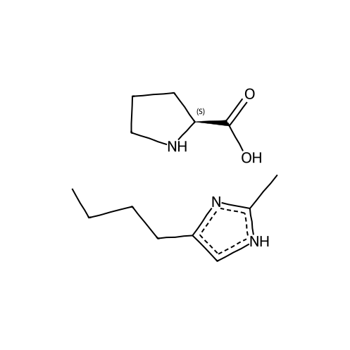 CCCCc1c[nH]c(C)n1.O=C(O)[C@@H]1CCCN1